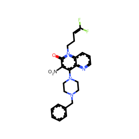 O=c1c([N+](=O)[O-])c(N2CCN(Cc3ccccc3)CC2)c2ncccc2n1CCC=C(F)F